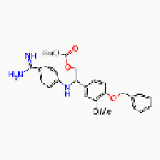 COc1cc(C(COC(=O)OCC(C)C)Nc2ccc(C(=N)N)cc2)ccc1OCc1ccccc1